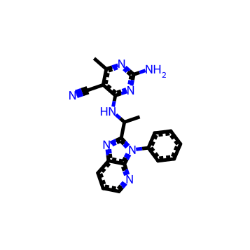 Cc1nc(N)nc(NC(C)c2nc3cccnc3n2-c2ccccc2)c1C#N